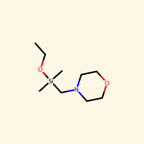 CCO[Si](C)(C)CN1CCOCC1